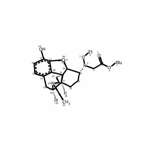 CCON(CC(=O)OC(C)(C)C)[C@@H]1CC[C@H]2[C@H]3Cc4ccc(O)c5c4[C@@]2(CCN3C)[C@H]1O5